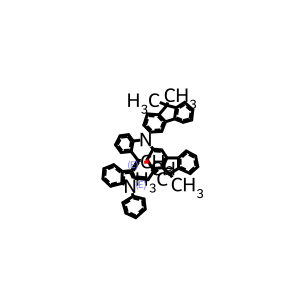 C#C/C=c1\c(=C(/C)c2ccccc2N(C2=CC3=C(CC2)C(C)(C)c2ccccc23)c2ccc3c(c2)-c2ccccc2C3(C)C)c2ccccc2n1-c1ccccc1